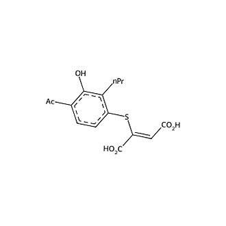 CCCc1c(S/C(=C\C(=O)O)C(=O)O)ccc(C(C)=O)c1O